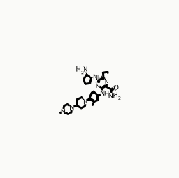 CCc1nc(C(N)=O)c(Nc2ccc(N3CCC(N4CCN(C)CC4)CC3)c(C)c2)nc1N[C@@H]1CCC[C@H]1N